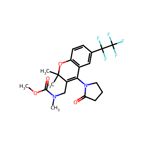 COC(=O)N(C)CC1=C(N2CCCC2=O)c2cc(C(F)(F)C(F)(F)F)ccc2OC1(C)C